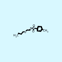 C=CCCSC/C=N/S(=O)(=O)c1ccc(C)cc1